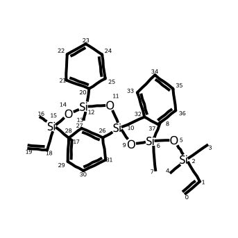 C=C[Si](C)(C)O[Si](C)(C)O[Si](O[Si](C)(O[Si](C)(C)C=C)c1ccccc1)(c1ccccc1)c1ccccc1